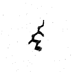 CCOC(=O)OC(C)OC=O